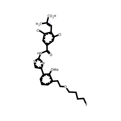 COc1c(CCOCCCCF)cccc1-c1csc(NC(=O)c2cc(Cl)c(/C=C(\C)C(=O)O)c(Cl)c2)n1